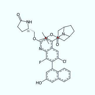 CC(C)(C)OC(=O)N1C2CCC1CN(c1nc(OC[C@@H]3CCC(=O)N3)nc3c(F)c(-c4cc(O)cc5ccccc45)c(Cl)cc13)C2